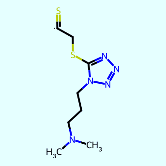 CN(C)CCCn1nnnc1SC[C]=S